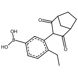 CCc1ccc(B(O)O)cc1C1C(=O)C2CCC(C2)C1=O